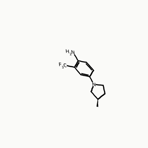 C[C@@H]1CCN(c2ccc(N)c(C(F)(F)F)c2)C1